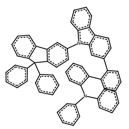 c1ccc(N(c2ccccc2)c2ccccc2-c2ccccc2-c2ccc3c4ccccc4n(-c4ccc5c(c4)-c4ccccc4C5(c4ccccc4)c4ccccc4)c3c2)cc1